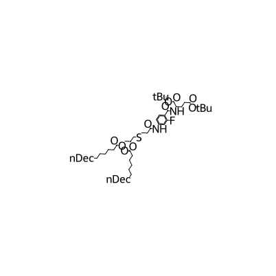 CCCCCCCCCCCCCCCC(=O)OCC(CSCCC(=O)Nc1ccc(C(=O)NC(CCC(=O)OC(C)(C)C)C(=O)OC(C)(C)C)c(F)c1)OC(=O)CCCCCCCCCCCCCCC